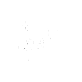 Cc1nc(C(F)(F)F)cc(-c2ccnc3cc(CN4C(=O)C5C(C4=O)C5(C)C)sc23)c1NC(=O)C1CCNC1.O=C(O)C(F)(F)F